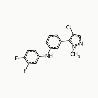 Cn1ncc(Cl)c1-c1cccc(Nc2ccc(F)c(F)c2)c1